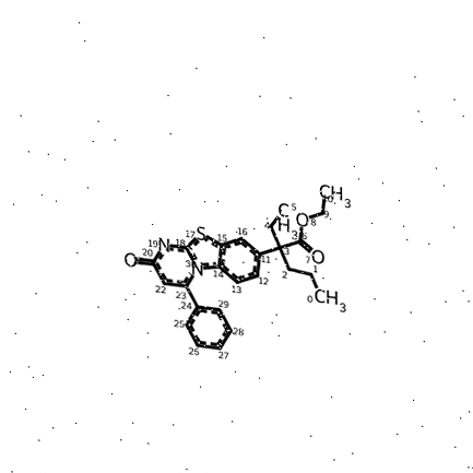 CCCC(CC)(C(=O)OCC)c1ccc2c(c1)sc1nc(=O)cc(-c3ccccc3)n12